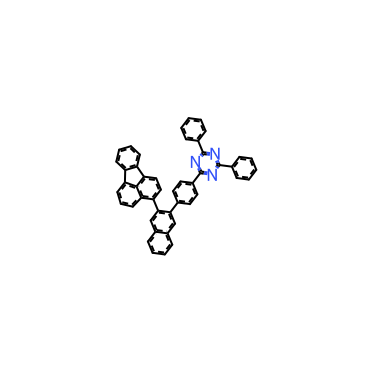 c1ccc(-c2nc(-c3ccccc3)nc(-c3ccc(-c4cc5ccccc5cc4-c4ccc5c6c(cccc46)-c4ccccc4-5)cc3)n2)cc1